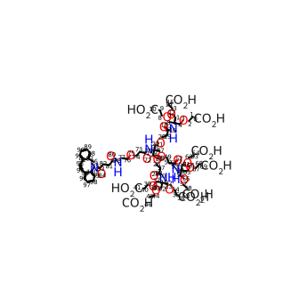 O=C(O)CCOCC(COCCC(=O)O)(COCCC(=O)O)NC(=O)CCOCC(COCCC(=O)NC(COCCC(=O)O)(COCCC(=O)O)COCCC(=O)O)(COCCC(=O)NC(COCCC(=O)O)(COCCC(=O)O)COCCC(=O)O)NC(=O)CCOCCNC(=O)CCC(=O)N1Cc2ccccc2C#Cc2ccccc21